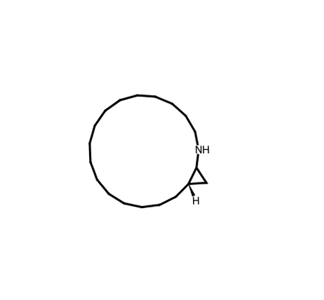 C1CCCCCCCC[C@H]2CC2NCCCCCCC1